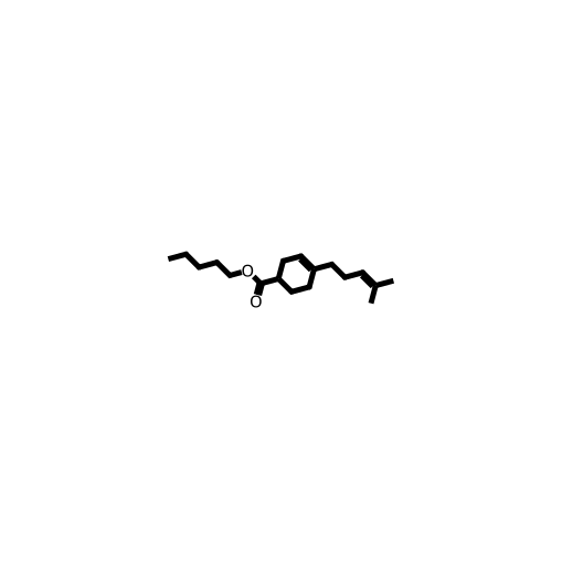 CCCCCOC(=O)C1CC=C(CCC=C(C)C)CC1